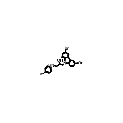 COc1ccc(NCC(O)Cn2c3ccc(Br)cc3c3cc(Br)ccc32)cc1